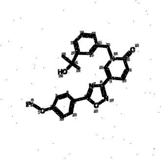 CC(C)Oc1ccc(-c2nc(-c3ccc(=O)n(Cc4cccc(C(C)(C)O)c4)c3)no2)cc1